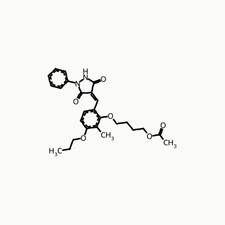 CCCOc1ccc(C=C2C(=O)NN(c3ccccc3)C2=O)c(OCCCCOC(C)=O)c1C